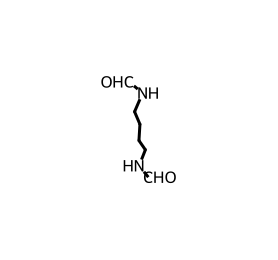 O=CNCCCCNC=O